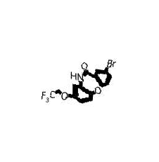 O=C1Nc2cc(OCC(F)(F)F)ccc2Oc2ccc(Br)cc21